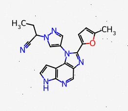 CCC(C#N)n1cc(-n2c(-c3ccc(C)o3)nc3cnc4[nH]ccc4c32)cn1